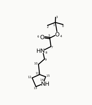 CC(C)(C)OC(=O)CNCCC1CCNC1